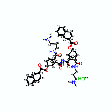 CN(C)CCCNC(=O)C1C2CC(OC(=O)c3ccc4ccccc4c3)C(C2)C1C(=O)NC(=O)C1C2CC(CC2OC(=O)c2ccc3ccccc3c2)C1C(=O)NCCCN(C)C.Cl